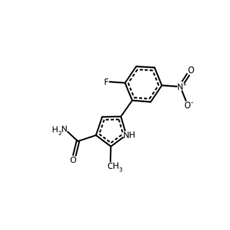 Cc1[nH]c(-c2cc([N+](=O)[O-])ccc2F)cc1C(N)=O